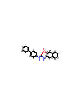 O=C(Nc1ccc(-c2ccccc2)cc1)Nc1cc2ccccc2cc1O